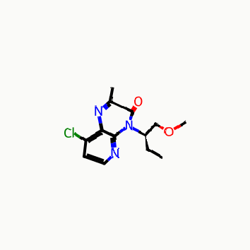 CC[C@H](COC)n1c(=O)c(C)nc2c(Cl)ccnc21